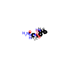 Cc1ccccc1-c1c[nH]c(=O)c2cc(O[C@H](C)C(=O)N3CCC(NC(N)=O)CC3)ccc12